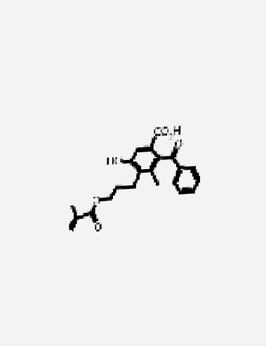 C=C(C)C(=O)OCCCc1c(O)cc(C(=O)O)c(C(=O)c2ccccc2)c1C